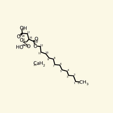 CCCCCCCCCCCCCOC(=O)C(CC(=O)O)S(=O)(=O)O.[CaH2]